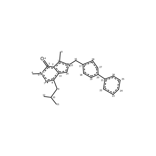 Cc1c2c(=O)n(C)nc(CC(C)C)c2cn1Cc1ccc(-c2ccccc2)cc1